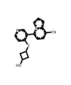 N#Cc1ccc(-c2cnccc2SC2CC(O)C2)n2cccc12